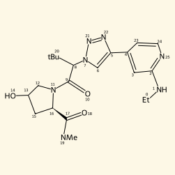 CCNc1cc(-c2cn(C(C(=O)N3CC(O)C[C@@H]3C(=O)NC)C(C)(C)C)nn2)ccn1